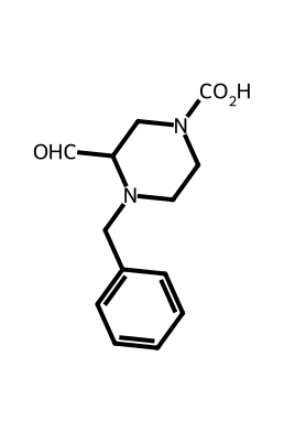 O=CC1CN(C(=O)O)CCN1Cc1ccccc1